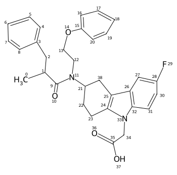 CC(Cc1ccccc1)C(=O)N(CCOc1ccccc1)C1CCc2c(c3cc(F)ccc3n2CC(=O)O)C1